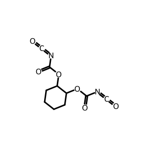 O=C=NC(=O)OC1CCCCC1OC(=O)N=C=O